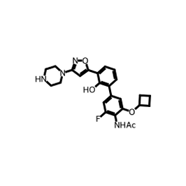 CC(=O)Nc1c(F)cc(-c2cccc(-c3cc(N4CCNCC4)no3)c2O)cc1OC1CCC1